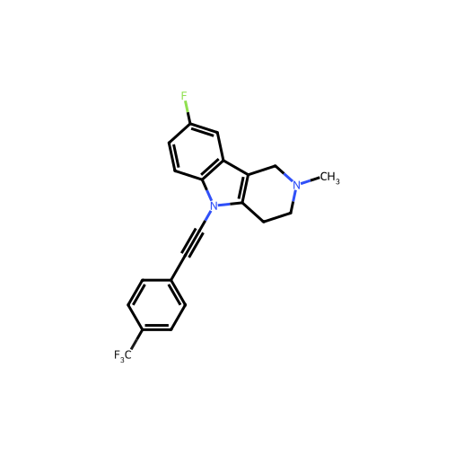 CN1CCc2c(c3cc(F)ccc3n2C#Cc2ccc(C(F)(F)F)cc2)C1